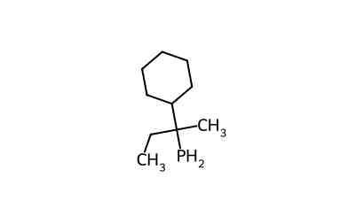 CCC(C)(P)C1CCCCC1